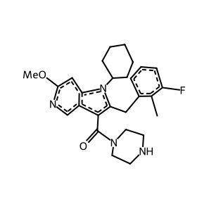 COc1cc2c(cn1)c(C(=O)N1CCNCC1)c(Cc1cccc(F)c1C)n2C1CCCCC1